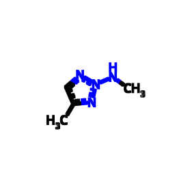 CNn1ncc(C)n1